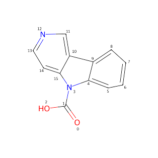 O=C(O)n1c2ccccc2c2cnccc21